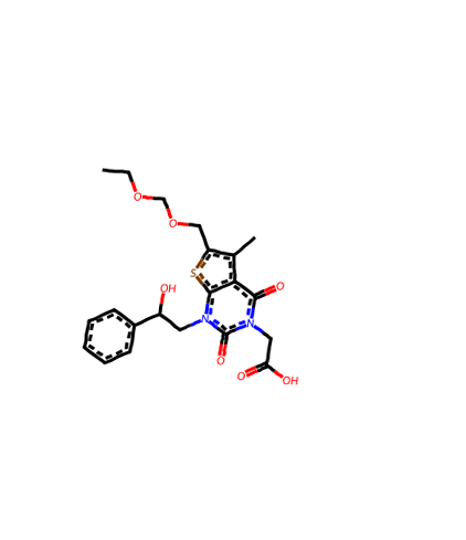 CCOCOCc1sc2c(c1C)c(=O)n(CC(=O)O)c(=O)n2CC(O)c1ccccc1